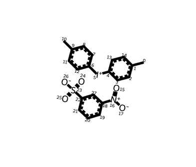 Cc1ccc([I+]c2ccc(C)cc2)cc1.O=[N+]([O-])c1cccc(S(=O)(=O)[O-])c1